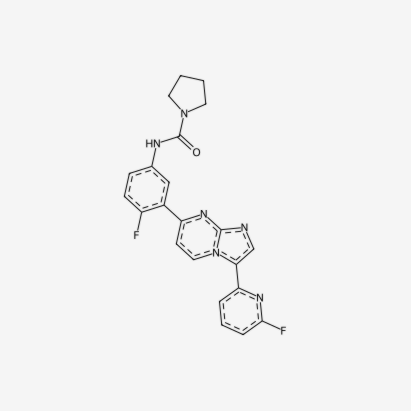 O=C(Nc1ccc(F)c(-c2ccn3c(-c4cccc(F)n4)cnc3n2)c1)N1CCCC1